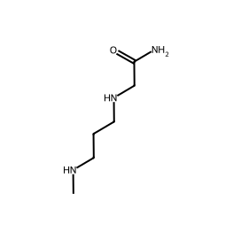 CNCCCNCC(N)=O